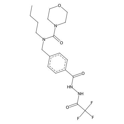 CCCCN(Cc1ccc(C(=O)NNC(=O)C(F)(F)F)cc1)C(=O)N1CCOCC1